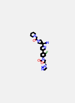 N#CC1(c2ccc(-c3ccc(N4C[C@H](Cn5ccnn5)OC4=O)cc3F)cn2)C2CN(C(=O)CN3CCCCC3)CC21